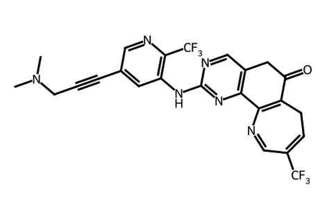 CN(C)CC#Cc1cnc(C(F)(F)F)c(Nc2ncc3c(n2)C2=C(CC=C(C(F)(F)F)C=N2)C(=O)C3)c1